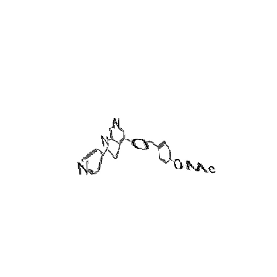 COc1ccc(COc2cncc3nc(-c4ccncc4)ccc23)cc1